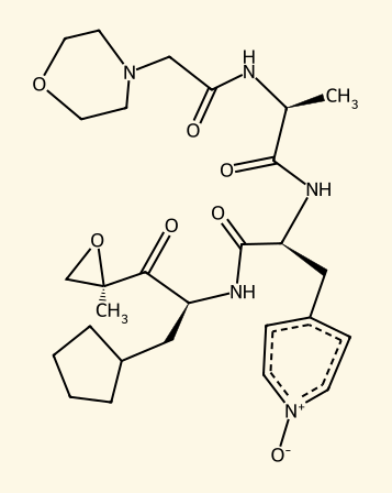 C[C@H](NC(=O)CN1CCOCC1)C(=O)N[C@@H](Cc1cc[n+]([O-])cc1)C(=O)N[C@@H](CC1CCCC1)C(=O)[C@@]1(C)CO1